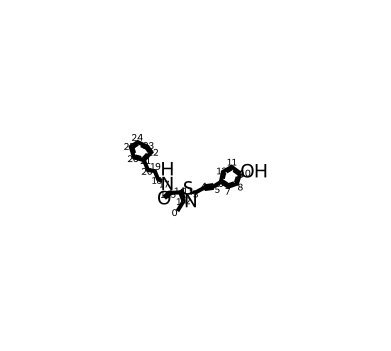 Cc1nc(C#Cc2ccc(O)cc2)sc1C(=O)NCCCc1ccccc1